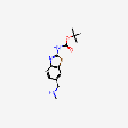 CNCc1ccc2nc(NC(=O)OC(C)(C)C)sc2c1